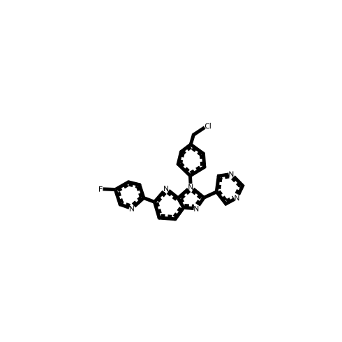 Fc1ccc(-c2ccc3nc(-c4cncnc4)n(-c4ccc(CCl)cc4)c3n2)nc1